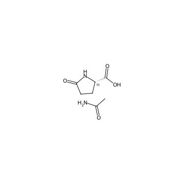 CC(N)=O.O=C1CC[C@@H](C(=O)O)N1